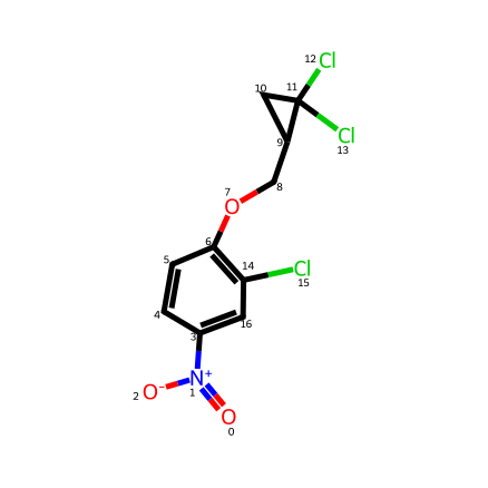 O=[N+]([O-])c1ccc(OCC2CC2(Cl)Cl)c(Cl)c1